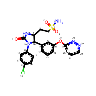 NS(=O)(=O)CCC1NC(=O)N(c2ccc(Cl)cc2)C1c1cccc(Oc2cccnn2)c1